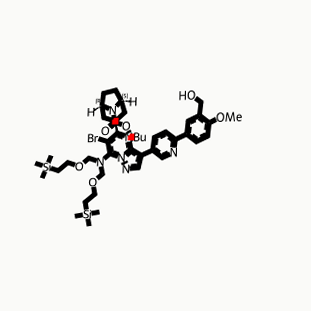 COc1ccc(-c2ccc(-c3cnn4c(N(COCC[Si](C)(C)C)COCC[Si](C)(C)C)c(Br)c([C@H]5C[C@H]6CC[C@@H](C5)N6C(=O)OC(C)(C)C)nc34)cn2)cc1CO